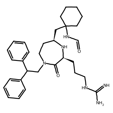 N=C(N)NCCC[C@@H]1N[C@H](CC2(NC=O)CCCCC2)CCN(CC(c2ccccc2)c2ccccc2)C1=O